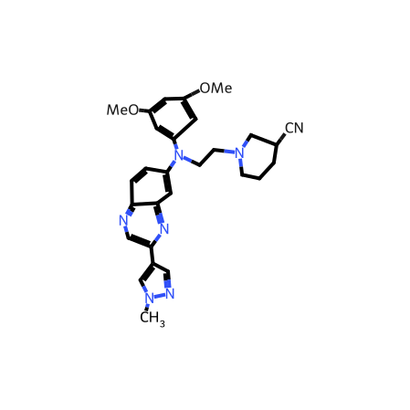 COc1cc(OC)cc(N(CCN2CCCC(C#N)C2)c2ccc3ncc(-c4cnn(C)c4)nc3c2)c1